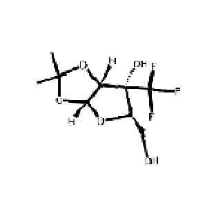 CC1(C)O[C@H]2O[C@H](CO)[C@](O)(C(F)(F)F)[C@H]2O1